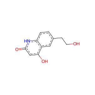 O=c1cc(O)c2cc(CCO)ccc2[nH]1